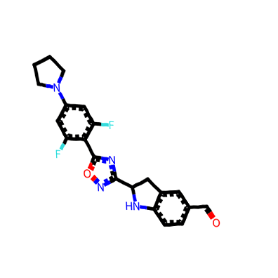 O=Cc1ccc2c(c1)CC(c1noc(-c3c(F)cc(N4CCCC4)cc3F)n1)N2